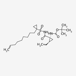 C=CCCCCCCCC1(S(=O)(=O)NC(=O)[C@@]2(NC(=O)OC(C)(C)C)C[C@H]2C=C)CC1